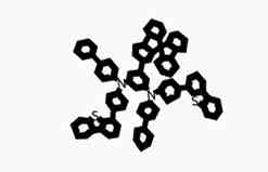 c1ccc(-c2ccc(N(c3ccc(-c4cccc5c4sc4ccccc45)cc3)c3cc(-c4ccc5c(c4)C4(c6ccccc6-c6ccccc64)c4ccccc4-5)cc(N(c4ccc(-c5ccccc5)cc4)c4ccc(-c5cccc6c5sc5ccccc56)cc4)c3)cc2)cc1